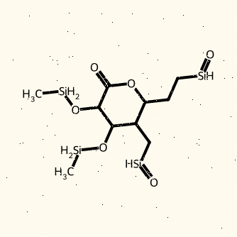 C[SiH2]OC1C(=O)OC(CC[SiH]=O)C(C[SiH]=O)C1O[SiH2]C